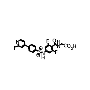 O=C(O)CNC(=O)c1c(F)cc(NS(=O)(=O)c2ccc(-c3ccnc(F)c3)cc2)cc1F